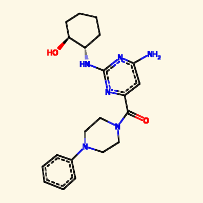 Nc1cc(C(=O)N2CCN(c3ccccc3)CC2)nc(N[C@H]2CCCC[C@@H]2O)n1